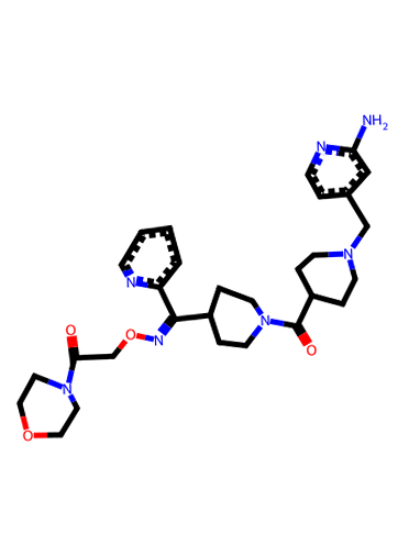 Nc1cc(CN2CCC(C(=O)N3CCC(C(=NOCC(=O)N4CCOCC4)c4ccccn4)CC3)CC2)ccn1